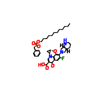 CCCCCCCCCCCCOS(=O)(=O)Cc1ccccc1.COc1c(N2C[C@@H]3CCCN[C@@H]3C2)c(F)cc2c(=O)c(C(=O)O)cn(C3CC3)c12